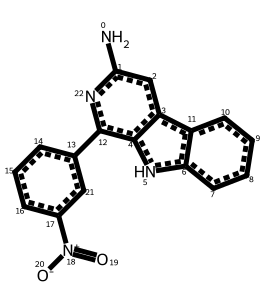 Nc1cc2c([nH]c3ccccc32)c(-c2cccc([N+](=O)[O-])c2)n1